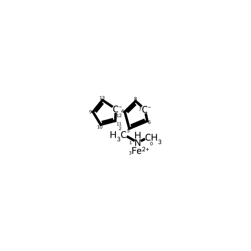 CNC.[Fe+2].c1cc[cH-]c1.c1cc[cH-]c1